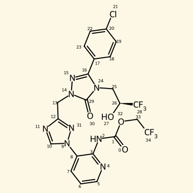 O=C(Nc1ncccc1-n1cnc(Cn2nc(-c3ccc(Cl)cc3)n(C[C@H](O)C(F)(F)F)c2=O)n1)OCC(F)(F)F